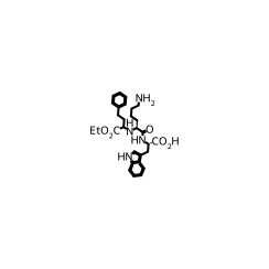 CCOC(=O)C(CCc1ccccc1)N[C@@H](CCCCN)C(=O)N[C@@H](Cc1c[nH]c2ccccc12)C(=O)O